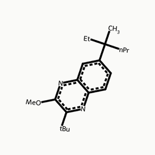 CCCC(C)(CC)c1ccc2nc(C(C)(C)C)c(OC)nc2c1